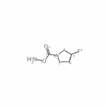 NOC(=O)N1CCC(F)C1